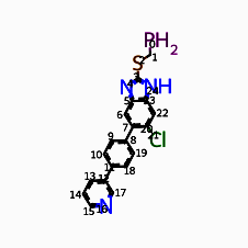 PCSc1nc2cc(-c3ccc(-c4cccnc4)cc3)c(Cl)cc2[nH]1